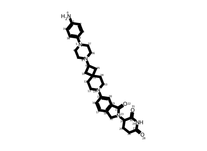 Nc1ccc(N2CCN(C3CC4(CCN(c5ccc6c(c5)C(=O)N(C5CCC(=O)NC5=O)C6)CC4)C3)CC2)cc1